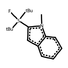 Cn1c(S(F)(C(C)(C)C)C(C)(C)C)cc2ccccc21